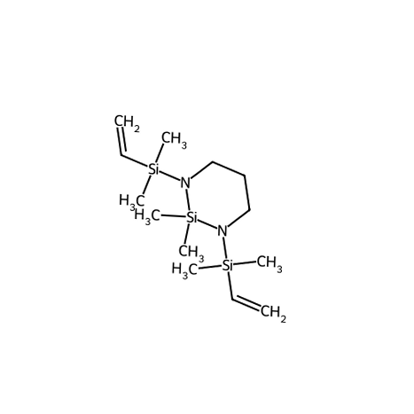 C=C[Si](C)(C)N1CCCN([Si](C)(C)C=C)[Si]1(C)C